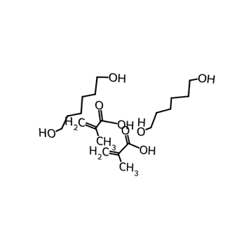 C=C(C)C(=O)O.C=C(C)C(=O)O.OCCCCCCO.OCCCCCCO